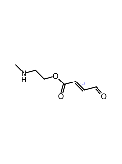 CNCCOC(=O)/C=C/C=O